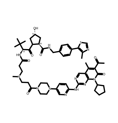 CC(=O)c1c(C)c2cnc(Nc3ccc(N4CCN(C(=O)CCN(C)CCC(=O)N[C@H](C(=O)C5C[C@H](O)C[C@H]5C(=O)NCc5ccc(-c6scnc6C)cc5)C(C)(C)C)CC4)cn3)nc2n(C2CCCC2)c1=O